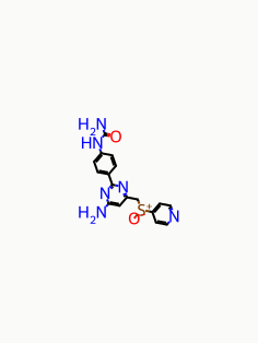 NC(=O)Nc1ccc(-c2nc(N)cc(C[S+]([O-])c3ccncc3)n2)cc1